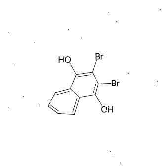 Oc1c(Br)c(Br)c(O)c2ccccc12